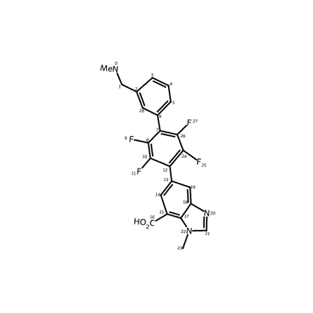 CNCc1cccc(-c2c(F)c(F)c(-c3cc(C(=O)O)c4c(c3)ncn4C)c(F)c2F)c1